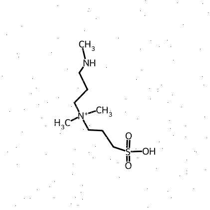 CNCCC[N+](C)(C)CCCS(=O)(=O)O